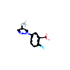 Cc1cnn(-c2ccc(F)c(C(=O)O)c2)c1